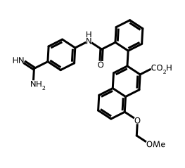 COCOc1cccc2cc(-c3ccccc3C(=O)Nc3ccc(C(=N)N)cc3)c(C(=O)O)cc12